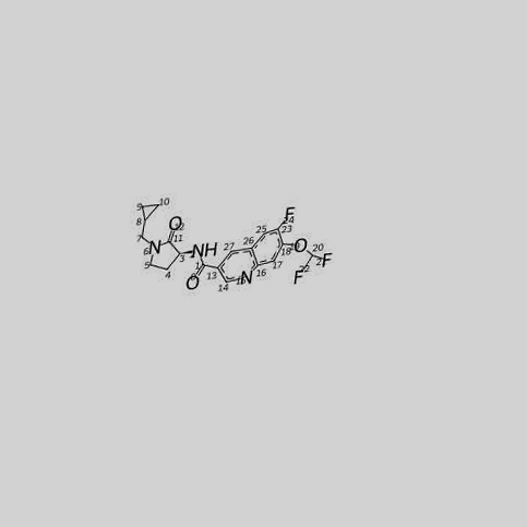 O=C(N[C@H]1CCN(CC2CC2)C1=O)c1cnc2cc(OC(F)F)c(F)cc2c1